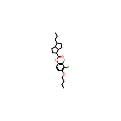 CCCCOc1ccc(OC(=O)C2CCC3C(CCC)CCC23)c(F)c1F